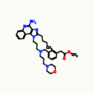 CCCCc1nc2c(N)nc3ccccc3c2n1CCCN(CCCN1CCOCC1)Cc1cccc(CC(=O)OC)c1